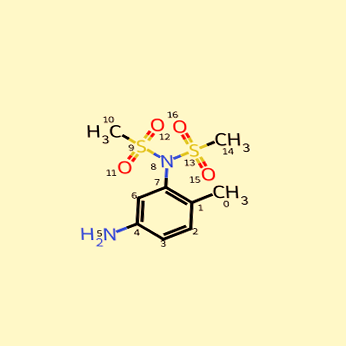 Cc1ccc(N)cc1N(S(C)(=O)=O)S(C)(=O)=O